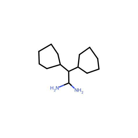 NC(N)C(C1CCCCC1)C1CCCCC1